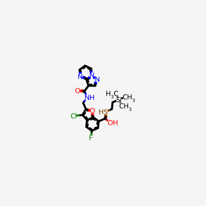 C[Si](C)(C)CC[SH]=C(O)c1cc(F)cc2c(Cl)c(CNC(=O)c3cnn4cccnc34)oc12